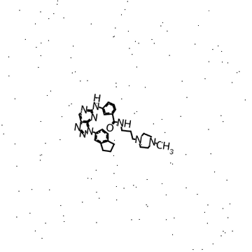 CN1CCN(CCCNC(=O)c2cccc(Nc3ncc4nnn(-c5ccc6c(c5)CCC6)c4n3)c2)CC1